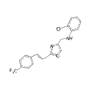 FC(F)(F)c1ccc(/C=C/c2nc(CNc3ccccc3Cl)co2)cc1